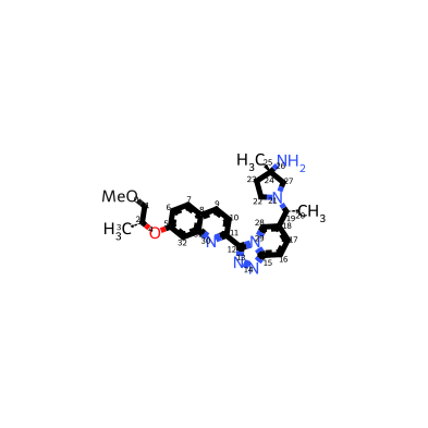 COC[C@@H](C)Oc1ccc2ccc(-c3nnc4ccc([C@@H](C)N5CC[C@](C)(N)C5)cn34)nc2c1